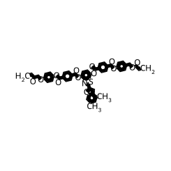 C=CC(=O)COc1ccc(OC(=O)C2CCC(C(=O)Oc3ccc(OC(=O)C4CCC(C(=O)Oc5ccc(COC(=O)C=C)cc5)CC4)c4sc(-c5cc6c(C)cc(C)cc6o5)nc34)CC2)cc1